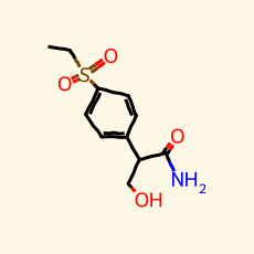 CCS(=O)(=O)c1ccc(C(CO)C(N)=O)cc1